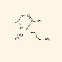 CC(=N)N[C@@H](CCCN)C(=O)O.Cl.Cl